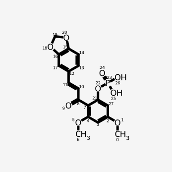 COc1cc(OC)c(C(=O)/C=C/c2ccc3c(c2)OCO3)c(OP(=O)(O)O)c1